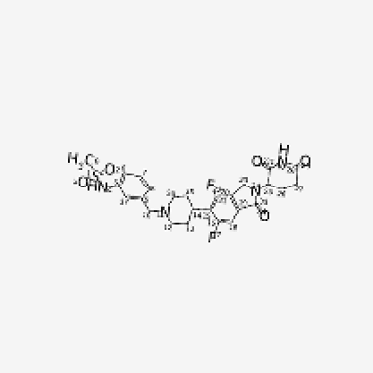 CS(=O)(=O)Nc1cccc(CN2CCC(c3c(F)cc4c(c3F)CN(C3CCC(=O)NC3=O)C4=O)CC2)c1